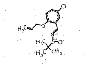 C=CCOc1ccc(Cl)cc1/C=N/[S+]([O-])C(C)(C)C